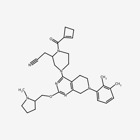 Cc1cccc(N2CCc3c(nc(OCC4CCCN4C)nc3N3CCN(C(=O)C4=CCC4)C(CC#N)C3)C2)c1C